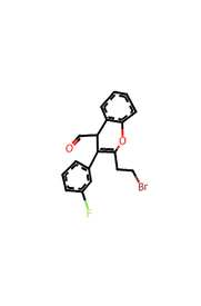 O=CC1C(c2cccc(F)c2)=C(CCBr)Oc2ccccc21